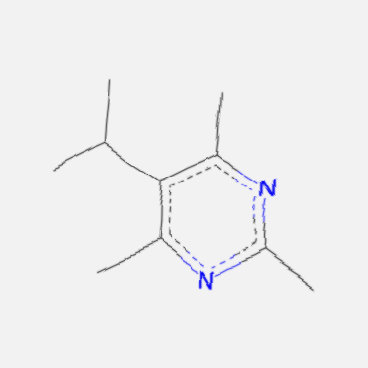 Cc1nc(C)c(C(C)C)c(C)n1